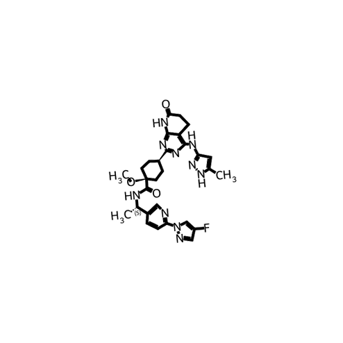 CO[C@]1(C(=O)N[C@@H](C)c2ccc(-n3cc(F)cn3)nc2)CC[C@H](c2nc3c(c(Nc4cc(C)[nH]n4)n2)CCC(=O)N3)CC1